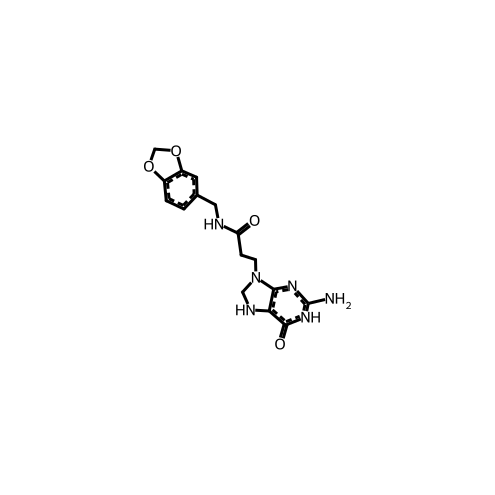 Nc1nc2c(c(=O)[nH]1)NCN2CCC(=O)NCc1ccc2c(c1)OCO2